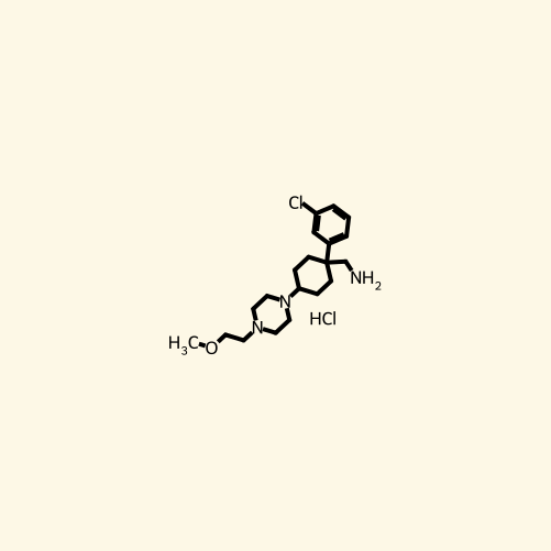 COCCN1CCN(C2CCC(CN)(c3cccc(Cl)c3)CC2)CC1.Cl